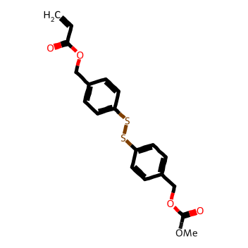 C=CC(=O)OCc1ccc(SSc2ccc(COC(=O)OC)cc2)cc1